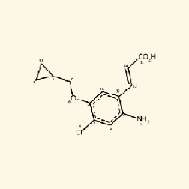 Nc1cc(Cl)c(OCC2CC2)cc1/C=C/C(=O)O